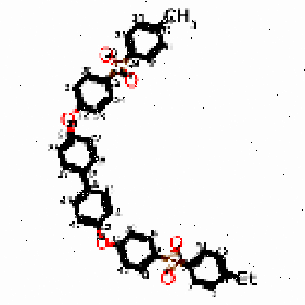 CCc1ccc(S(=O)(=O)c2ccc(Oc3ccc(-c4ccc(Oc5ccc(S(=O)(=O)c6ccc(C)cc6)cc5)cc4)cc3)cc2)cc1